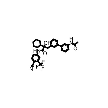 CC(=O)Nc1cccc(-c2cccc(CC(O)(C(=O)Nc3ccc(C#N)c(C(F)(F)F)c3)C3CCCCC3)c2)c1